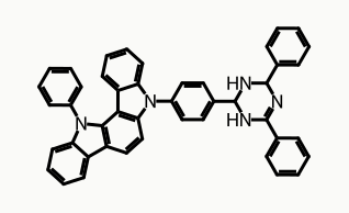 c1ccc(C2=NC(c3ccccc3)NC(c3ccc(-n4c5ccccc5c5c4ccc4c6ccccc6n(-c6ccccc6)c45)cc3)N2)cc1